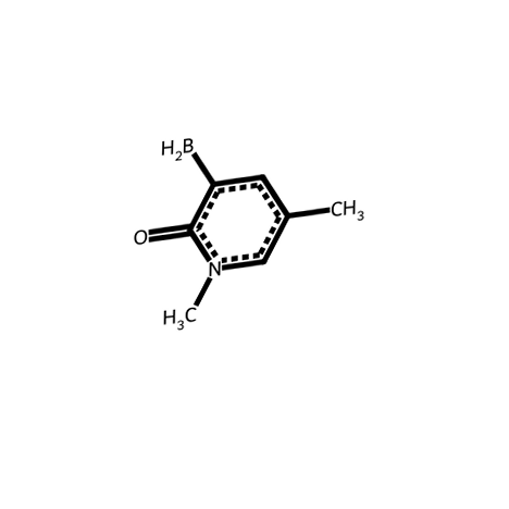 Bc1cc(C)cn(C)c1=O